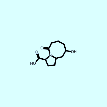 O=C(O)C1CCC2CC(O)CCCC(=O)N21